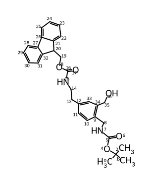 CC(C)(C)OC(=O)NCc1ccc(CCNC(=O)OCC2c3ccccc3-c3ccccc32)cc1CO